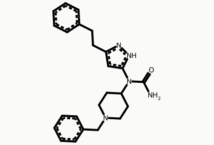 NC(=O)N(c1cc(CCc2ccccc2)n[nH]1)C1CCN(Cc2ccccc2)CC1